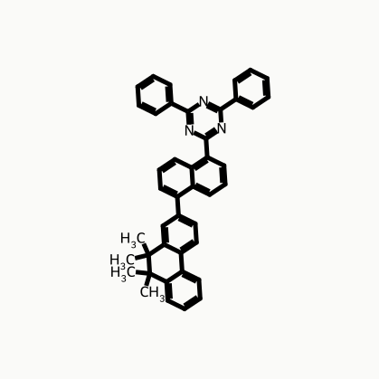 CC1(C)c2ccccc2-c2ccc(-c3cccc4c(-c5nc(-c6ccccc6)nc(-c6ccccc6)n5)cccc34)cc2C1(C)C